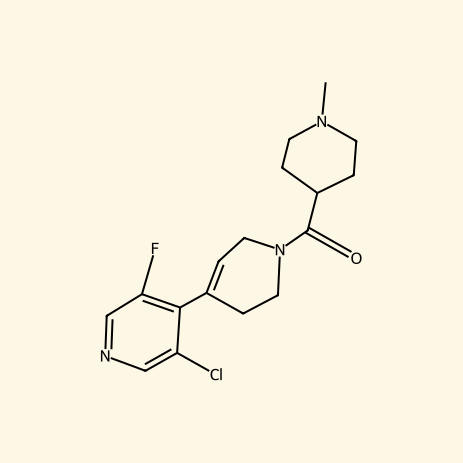 CN1CCC(C(=O)N2CC=C(c3c(F)cncc3Cl)CC2)CC1